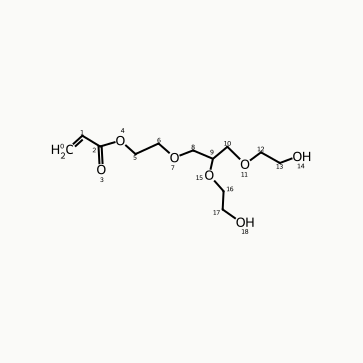 C=CC(=O)OCCOCC(COCCO)OCCO